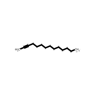 [CH2]C#CCCCCCCCCCC[CH2]